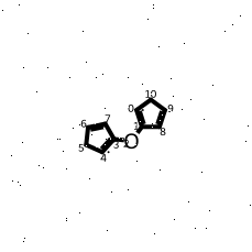 [C]1=C(OC2=[C]CC=C2)C=CC1